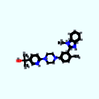 Cc1ccc(N2CCN(c3ccc(C(C)(C)O)cn3)CC2)cc1-c1nc2ccccc2n1C